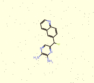 Nc1ncc(C(F)c2ccc3ncccc3c2)nc1N